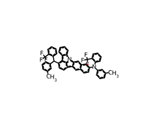 Cc1cccc(C(c2ccccc2C(F)(F)F)c2ccc3c4cc5ccc(N(c6cccc(C)c6)c6ccccc6C(F)(F)F)cc5cc4n4c5ccccc5c2c34)c1